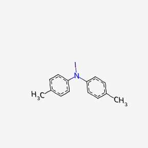 Cc1ccc(N(I)c2ccc(C)cc2)cc1